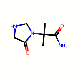 CC(C)(C(N)=O)N1CNCC1=O